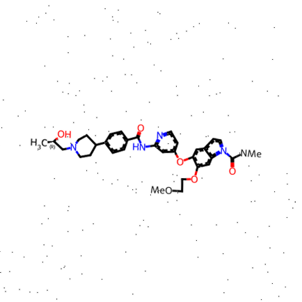 CNC(=O)n1ccc2cc(Oc3ccnc(NC(=O)c4ccc(C5CCN(C[C@@H](C)O)CC5)cc4)c3)c(OCCOC)cc21